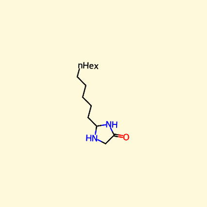 CCCCCCCCCCCC1NCC(=O)N1